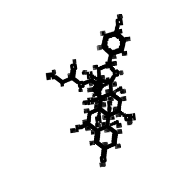 CC(C)CC(=O)OCC(=O)[C@@]12ON(c3ccc(Cl)cc3)C[C@@H]1C[C@H]1[C@@H]3C[C@H](F)C4=CC(=O)C=C[C@]4(C)[C@@]3(F)[C@@H](O)C[C@@]12C